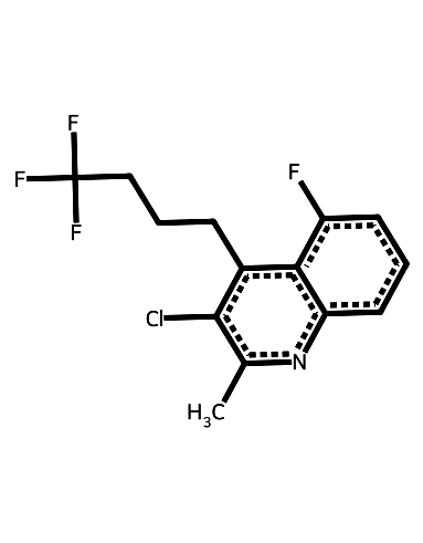 Cc1nc2cccc(F)c2c(CCCC(F)(F)F)c1Cl